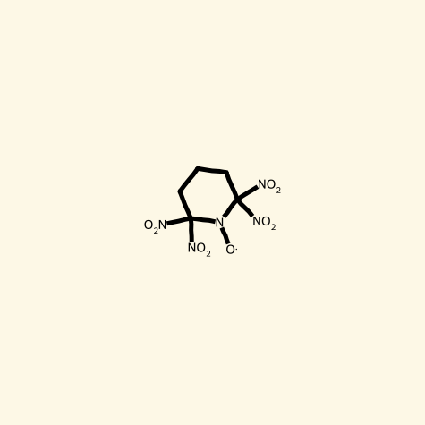 [O]N1C([N+](=O)[O-])([N+](=O)[O-])CCCC1([N+](=O)[O-])[N+](=O)[O-]